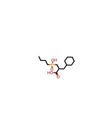 CCCCP(=O)(O)CC(CC1CCCCC1)C(=O)O